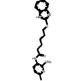 CSc1nc(C)ccc1NC(=O)CCCCCSc1nc2ccccc2[nH]1